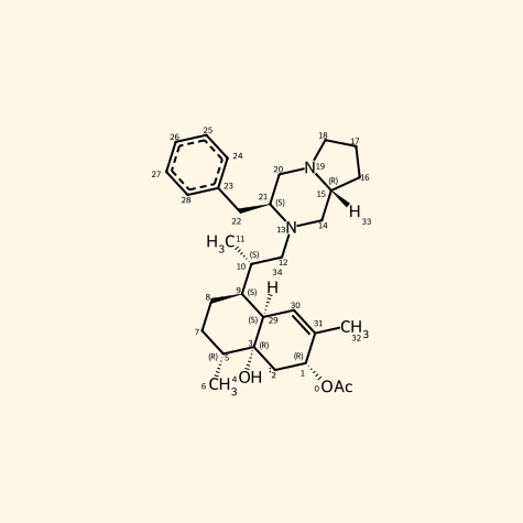 CC(=O)O[C@@H]1[C][C@@]2(O)[C@H](C)CC[C@@H]([C@H](C)CN3C[C@H]4CCCN4C[C@@H]3Cc3ccccc3)[C@H]2C=C1C